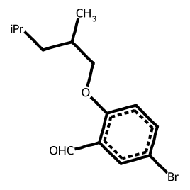 CC(C)CC(C)COc1ccc(Br)cc1C=O